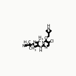 Cc1nn(C(C)(C)C#N)cc1Nc1ncc(Cl)c(OCC2CNC2)n1